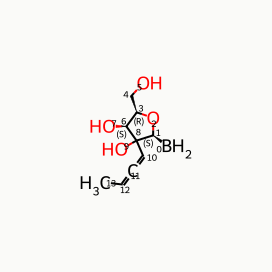 B[C@@H]1O[C@H](CO)[C@H](O)C1(O)C=C=CC